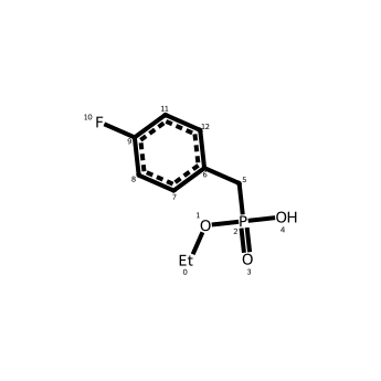 CCOP(=O)(O)Cc1ccc(F)cc1